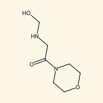 O=C(CNCO)N1CCOCC1